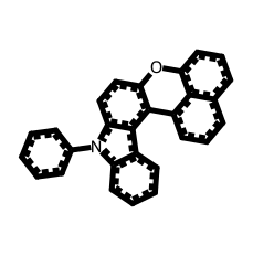 c1ccc(-n2c3ccccc3c3c4c(ccc32)Oc2cccc3cccc-4c23)cc1